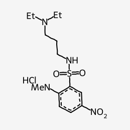 CCN(CC)CCCNS(=O)(=O)c1cc([N+](=O)[O-])ccc1NC.Cl